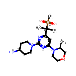 C[C@H]1COCCN1c1cc(C(C)(C)S(C)(=O)=O)nc(N2CCC(N)CC2)n1